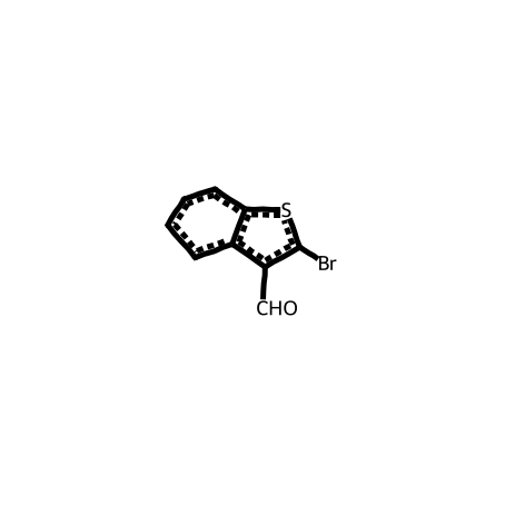 O=Cc1c(Br)sc2ccccc12